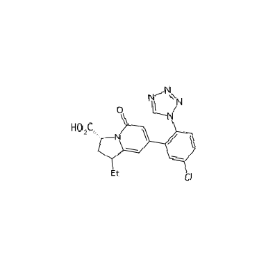 CCC1C[C@H](C(=O)O)n2c1cc(-c1cc(Cl)ccc1-n1cnnn1)cc2=O